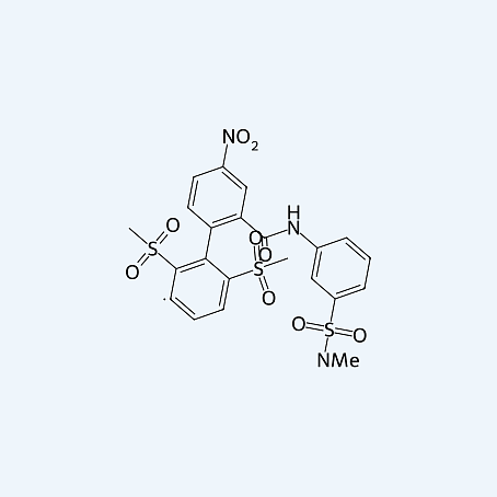 CNS(=O)(=O)c1cccc(NC(=O)c2cc([N+](=O)[O-])ccc2-c2c(S(C)(=O)=O)[c]ccc2S(C)(=O)=O)c1